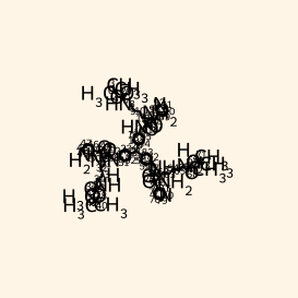 CC(C)(C)OC(=O)NCCCC[C@](N)(C(=O)Nc1ccc(C(c2ccc(NC(=O)[C@@](N)(CCCCNC(=O)OC(C)(C)C)C(=O)c3cccnc3)cc2)c2ccc(NC(=O)[C@@](N)(CCCCNC(=O)OC(C)(C)C)C(=O)c3cccnc3)cc2)cc1)C(=O)c1cccnc1